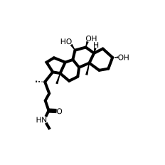 CNC(=O)CC[C@H](C)C1CCC2C3C(CC[C@@]21C)[C@@]1(C)CC[C@@H](O)C[C@H]1[C@H](O)[C@@H]3O